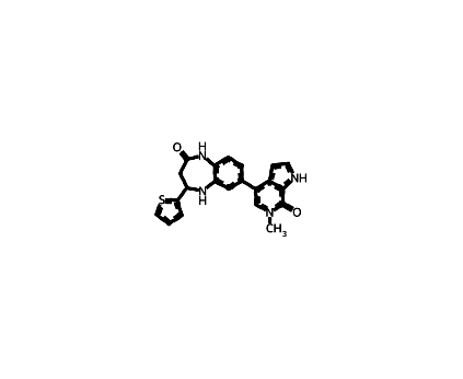 Cn1cc(-c2ccc3c(c2)NC(c2cccs2)CC(=O)N3)c2cc[nH]c2c1=O